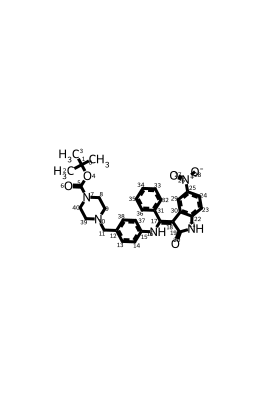 CC(C)(C)OC(=O)N1CCN(Cc2ccc(N/C(=C3\C(=O)Nc4ccc([N+](=O)[O-])cc43)c3ccccc3)cc2)CC1